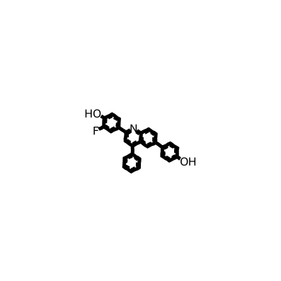 Oc1ccc(-c2ccc3nc(-c4ccc(O)c(F)c4)cc(-c4ccccc4)c3c2)cc1